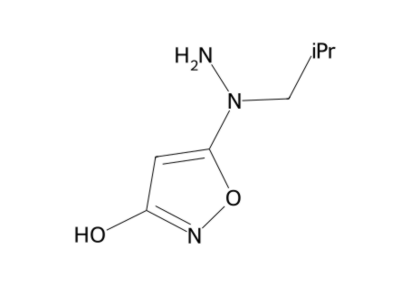 CC(C)CN(N)c1cc(O)no1